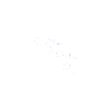 NCc1cccc(N(C(N)=O)c2ccc(-c3csc4c(-c5ccccc5)cnc(N)c34)cc2)c1